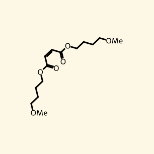 COCCCCOC(=O)/C=C\C(=O)OCCCCOC